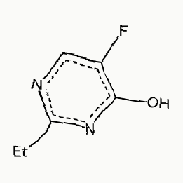 CCc1ncc(F)c(O)n1